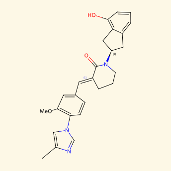 COc1cc(/C=C2\CCCN([C@@H]3Cc4cccc(O)c4C3)C2=O)ccc1-n1cnc(C)c1